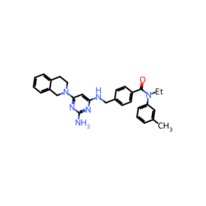 CCN(C(=O)c1ccc(CNc2cc(N3CCc4ccccc4C3)nc(N)n2)cc1)c1cccc(C)c1